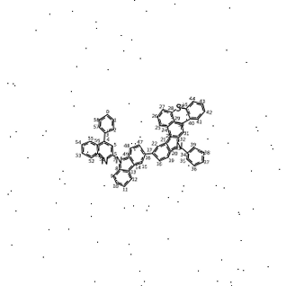 c1ccc(-c2cc(-n3c4ccccc4c4cc(-c5ccc6c(c5)c5c7cccc8c7c(cc5n6-c5ccccc5)-c5ccccc5S8)ccc43)nc3ccccc23)cc1